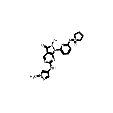 CC(C)n1c(=O)c2cnc(Nc3cnn(C)c3)nc2n1-c1cccc(N=S2(=O)CCCC2)n1